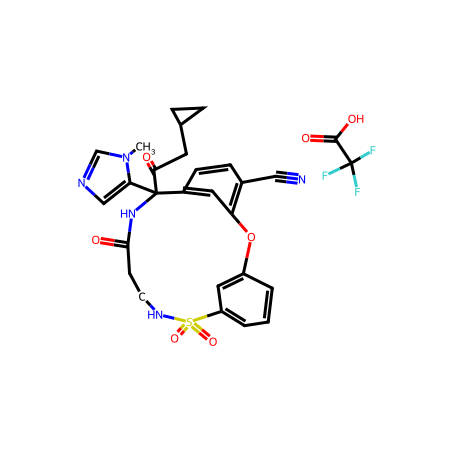 Cn1cncc1C1(C(=O)CC2CC2)NC(=O)CCNS(=O)(=O)c2cccc(c2)Oc2cc1ccc2C#N.O=C(O)C(F)(F)F